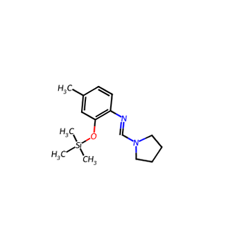 Cc1ccc(N=CN2CCCC2)c(O[Si](C)(C)C)c1